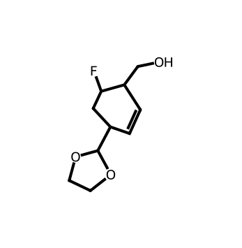 OCC1C=CC(C2OCCO2)CC1F